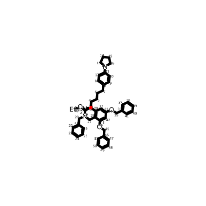 CCOC(CCCCCc1ccc(N2CCCC2)cc1)N(Cc1ccccc1)Cc1c(CN)cc(OCc2ccccc2)cc1OCc1ccccc1